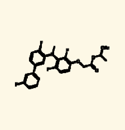 CC(=O)OC(C)OC(=O)COc1ccc(F)c(N(C)c2cc(-c3cccc(F)c3)ccc2F)c1F